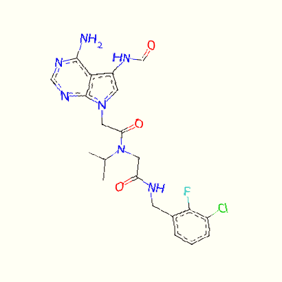 CC(C)N(CC(=O)NCc1cccc(Cl)c1F)C(=O)Cn1cc(NC=O)c2c(N)ncnc21